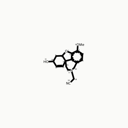 COc1ccc2c3c1OC1CC(O)C=CC31CCN(CC#N)C2